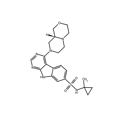 CC1(NS(=O)(=O)c2ccc3c(c2)[nH]c2ncnc(N4CCN5CCOC[C@H]5C4)c23)CC1